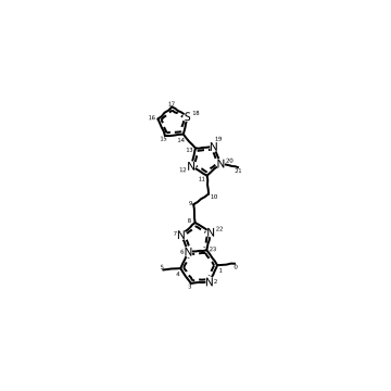 Cc1ncc(C)n2nc(CCc3nc(-c4cccs4)nn3C)nc12